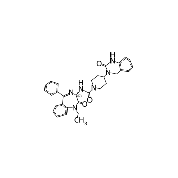 CCN1C(=O)[C@H](NC(=O)N2CCC(N3Cc4ccccc4NC3=O)CC2)N=C(c2ccccc2)c2ccccc21